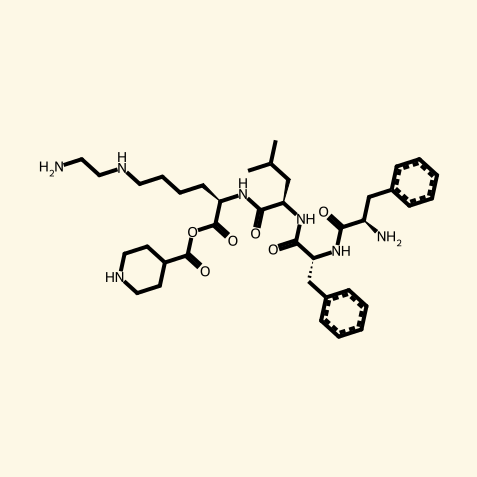 CC(C)C[C@@H](NC(=O)[C@@H](Cc1ccccc1)NC(=O)[C@H](N)Cc1ccccc1)C(=O)N[C@H](CCCCNCCN)C(=O)OC(=O)C1CCNCC1